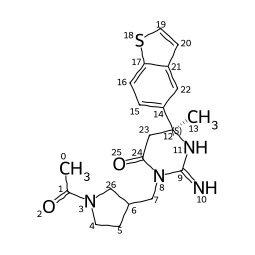 CC(=O)N1CCC(CN2C(=N)N[C@](C)(c3ccc4sccc4c3)CC2=O)C1